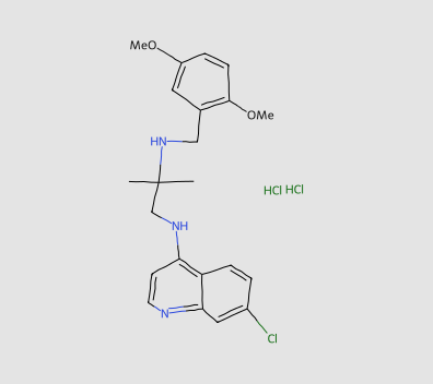 COc1ccc(OC)c(CNC(C)(C)CNc2ccnc3cc(Cl)ccc23)c1.Cl.Cl